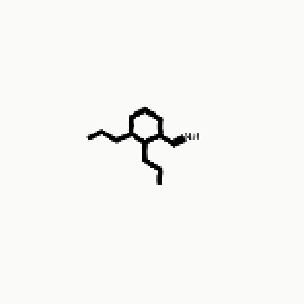 CCCC1CCCC(C=N)C1CCC